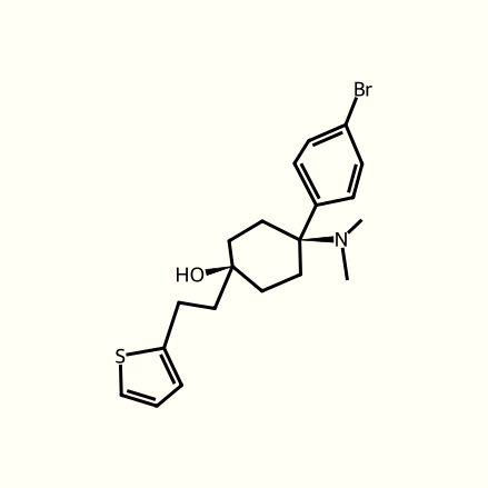 CN(C)[C@]1(c2ccc(Br)cc2)CC[C@@](O)(CCc2cccs2)CC1